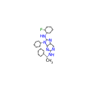 CC(Nc1ncc2nc(Nc3ccccc3F)n(-c3ccccc3)c2n1)c1ccccc1